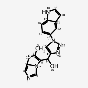 Cc1sc2cncn2c1C(O)c1cn(-c2ccc3[nH]ccc3c2)nn1